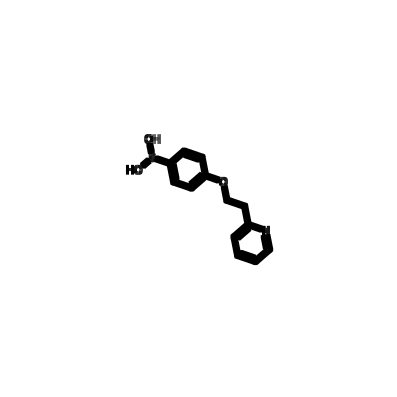 OB(O)c1ccc(OCCc2ccccn2)cc1